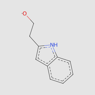 [O]CCc1cc2ccccc2[nH]1